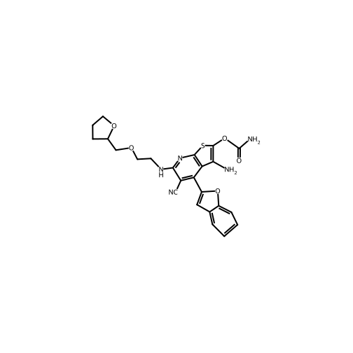 N#Cc1c(NCCOCC2CCCO2)nc2sc(OC(N)=O)c(N)c2c1-c1cc2ccccc2o1